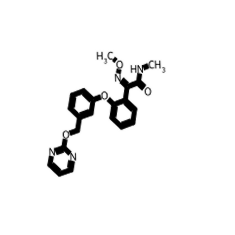 CNC(=O)C(=NOC)c1ccccc1Oc1cccc(COc2ncccn2)c1